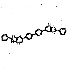 c1ccc(-c2nc3ncc(-c4ccc(-c5ccc(-c6cnc7nc(-c8ccccc8)oc7c6)cc5)cc4)cc3o2)cc1